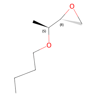 CCCCO[C@@H](C)[C@H]1CO1